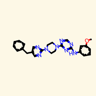 COc1cccc(Nc2ncnc(N3CCN(c4ncc(Cc5ccccc5)cn4)CC3)n2)c1